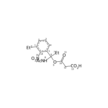 CCc1cccc(C(CC)(NC(C)=O)OC(=O)CC(=O)O)c1[N+](=O)[O-]